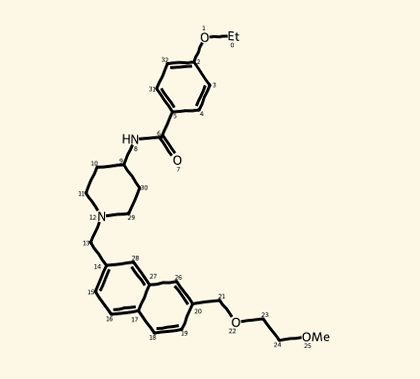 CCOc1ccc(C(=O)NC2CCN(Cc3ccc4ccc(COCCOC)cc4c3)CC2)cc1